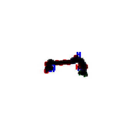 O=C1CCC(N2Cc3c(NCCOCCOCCOCCOCCN4CCN(C(=O)c5cc6cc(N7CC[C@](O)(C(=O)NCc8cc(F)cc(F)c8)C7=O)ccc6[nH]5)CC4)cccc3C2=O)C(=O)N1